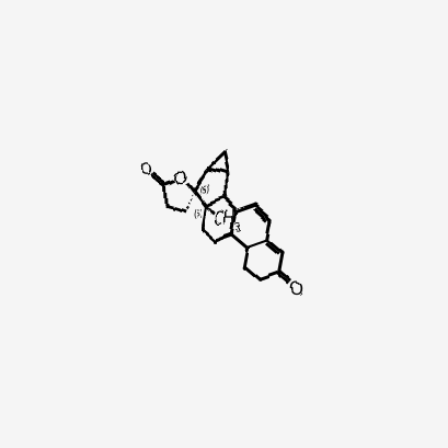 C[C@]12CCC3C4CCC(=O)C=C4C=CC3C1C1CC1[C@@]21CCC(=O)O1